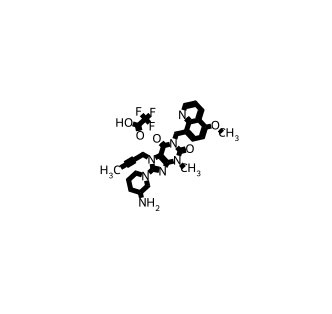 CC#CCn1c(N2CCCC(N)C2)nc2c1c(=O)n(Cc1ccc(OC)c3cccnc13)c(=O)n2C.O=C(O)C(F)(F)F